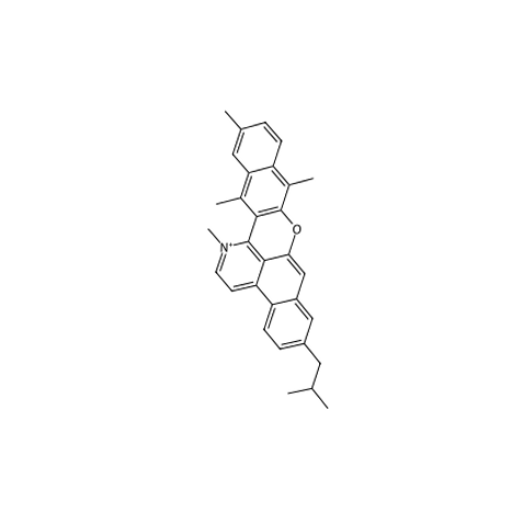 Cc1ccc2c(C)c3c(c(C)c2c1)-c1c2c(cc4cc(CC(C)C)ccc4c2cc[n+]1C)O3